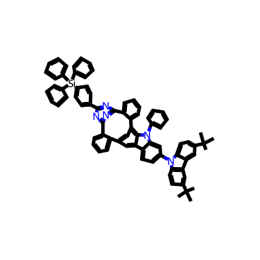 CC(C)(C)c1ccc2c(c1)c1cc(C(C)(C)C)ccc1n2-c1ccc2c3cc4cc(c5ccccc5c5nc(-c6ccc([Si](c7ccccc7)(c7ccccc7)c7ccccc7)cc6)nc(n5)c5ccccc45)c3n(-c3ccccc3)c2c1